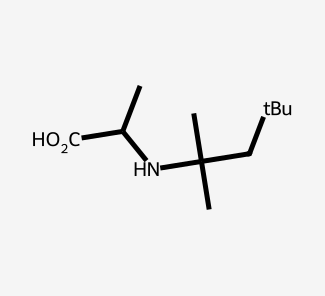 CC(NC(C)(C)CC(C)(C)C)C(=O)O